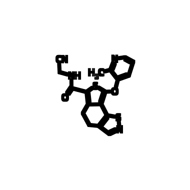 Cc1ncccc1Oc1sc(C(=O)NCC#N)c2c1-c1sncc1CC2